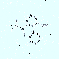 CCN(CC)C(=O)c1cccc(OC)c1-c1ccccc1